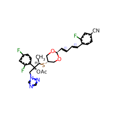 CC(=O)O[C@@](Cn1cncn1)(c1ccc(F)cc1F)[C@@H](C)S[C@H]1CO[C@H](/C=C/C=C/c2ccc(C#N)cc2F)OC1